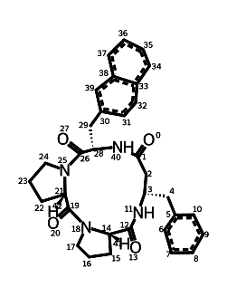 O=C1C[C@H](Cc2ccccc2)NC(=O)[C@@H]2CCCN2C(=O)[C@@H]2CCCN2C(=O)[C@H](Cc2ccc3ccccc3c2)N1